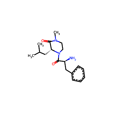 CC(C)C[C@@H]1C(=O)N(C)CCN1C(=O)[C@@H](N)Cc1ccccc1